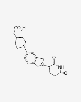 O=C(O)CC1CCN(c2ccc3c(c2)CN(C2CCC(=O)NC2=O)C3)CC1